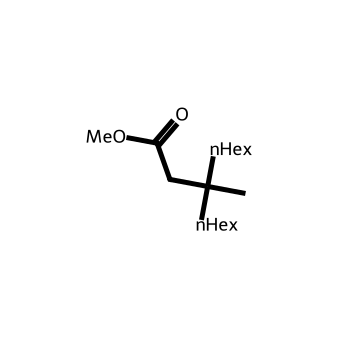 CCCCCCC(C)(CCCCCC)CC(=O)OC